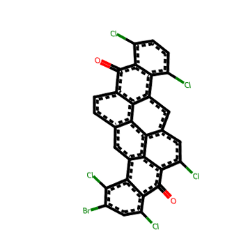 O=c1c2ccc3cc4c5c(Cl)c(Br)cc(Cl)c5c(=O)c5c(Cl)cc6cc(c7c(Cl)ccc(Cl)c17)c2c3c6c54